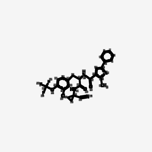 Cn1nc(-c2ccccc2)cc1C(=O)NC(Cc1ccc(OC(F)(F)F)c(Cl)c1)C(=O)NC1(C#N)CC1